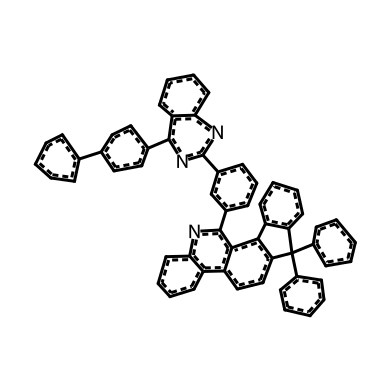 c1ccc(-c2ccc(-c3nc(-c4cccc(-c5nc6ccccc6c6ccc7c(c56)-c5ccccc5C7(c5ccccc5)c5ccccc5)c4)nc4ccccc34)cc2)cc1